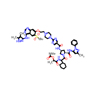 CNC(=O)OC(C)C(=O)NC(C(=O)N1C[C@@H](NC(=O)c2cnc(N3CCN(CCOc4cc5ncnc(Nc6n[nH]c(C)c6C)c5cc4S(=O)(=O)C(C)(C)C)CC3)nc2)C[C@H]1C(=O)Nc1cc(C)nn1-c1ccccc1)C1CCCCC1